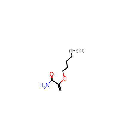 C=C(OCCCCCCCCC)C(N)=O